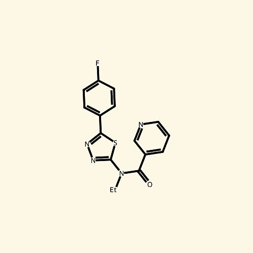 CCN(C(=O)c1cccnc1)c1nnc(-c2ccc(F)cc2)s1